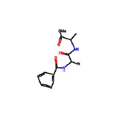 CCC(NC(=O)c1ccccc1)C(=O)NC(C)C(=O)OC